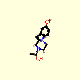 COc1ccc2c(c1)cc1n2CCN(B(C)O)C1